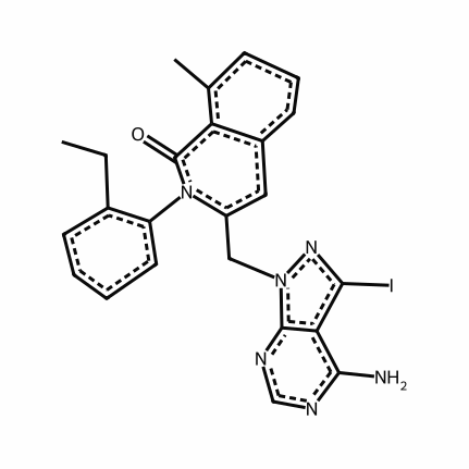 CCc1ccccc1-n1c(Cn2nc(I)c3c(N)ncnc32)cc2cccc(C)c2c1=O